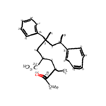 CCC(CC(CC(C)(CC(C)c1ccccc1)c1ccccc1)C(=O)O)C(=O)OC